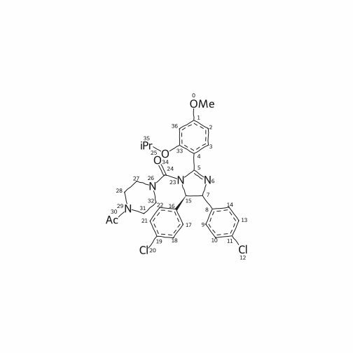 COc1ccc(C2=NC(c3ccc(Cl)cc3)[C@@H](c3ccc(Cl)cc3)N2C(=O)N2CCN(C(C)=O)CC2)c(OC(C)C)c1